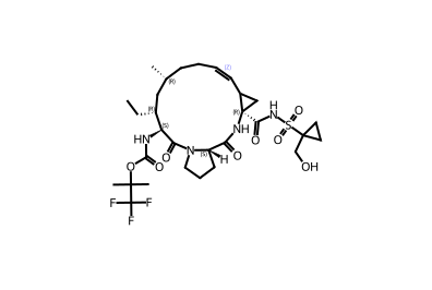 CC[C@@H]1C[C@H](C)CC/C=C\C2C[C@@]2(C(=O)NS(=O)(=O)C2(CO)CC2)NC(=O)[C@@H]2CCCN2C(=O)[C@H]1NC(=O)OC(C)(C)C(F)(F)F